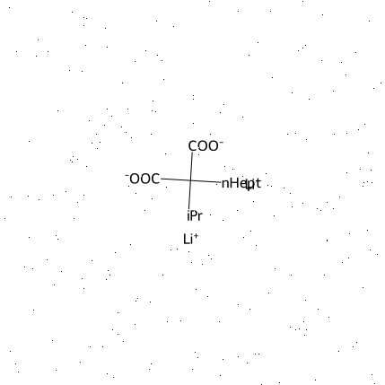 CCCCCCCC(C(=O)[O-])(C(=O)[O-])C(C)C.[Li+].[Li+]